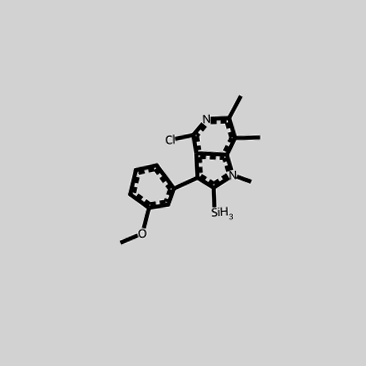 COc1cccc(-c2c([SiH3])n(C)c3c(C)c(C)nc(Cl)c23)c1